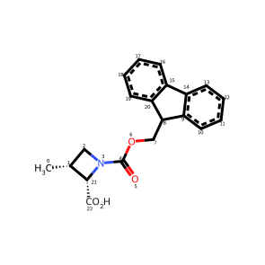 C[C@@H]1CN(C(=O)OCC2c3ccccc3-c3ccccc32)[C@@H]1C(=O)O